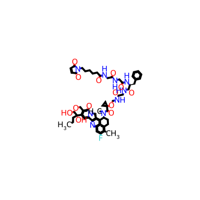 CCC[C@]1(O)c2cc3n(c(=O)c2COC1O)Cc1c-3nc2cc(F)c(C)c3c2c1[C@@H](N(C)C(=O)C1(OCNC(=O)CNC(=O)[C@H](Cc2ccccc2)NC(=O)CNC(=O)CNC(=O)CCCCCN2C(=O)C=CC2=O)CC1)CC3